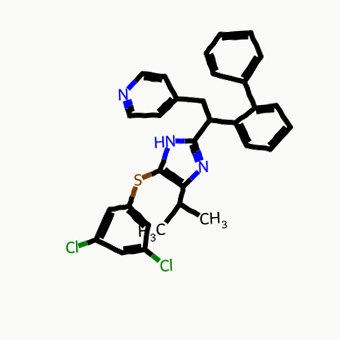 CC(C)c1nc(C(Cc2ccncc2)c2ccccc2-c2ccccc2)[nH]c1Sc1cc(Cl)cc(Cl)c1